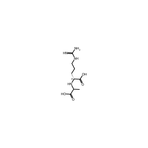 CC(N[C@H](CCCNC(=N)N)C(=O)O)C(=O)O